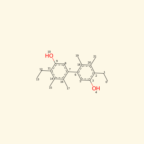 CCc1c(O)cc(-c2cc(O)c(CC)c(C)c2C)c(C)c1C